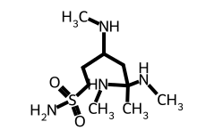 CNC(CCS(N)(=O)=O)CC(C)(NC)NC